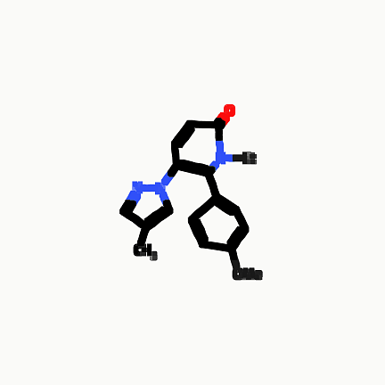 CCn1c(-c2ccc(OC)cc2)c(-n2cc(C)cn2)ccc1=O